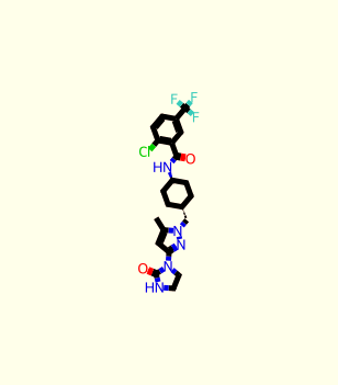 Cc1cc(N2CCNC2=O)nn1C[C@H]1CC[C@H](NC(=O)c2cc(C(F)(F)F)ccc2Cl)CC1